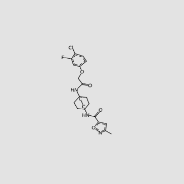 Cc1cc(C(=O)NC23CCC(NC(=O)COc4ccc(Cl)c(F)c4)(CC2)CC3)on1